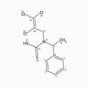 CC(c1ccccc1)N(CC(Cl)=C(Cl)Cl)C(=S)S